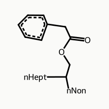 CCCCCCCCCC(CCCCCCC)COC(=O)Cc1ccccc1